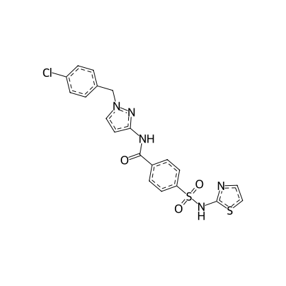 O=C(Nc1ccn(Cc2ccc(Cl)cc2)n1)c1ccc(S(=O)(=O)Nc2nccs2)cc1